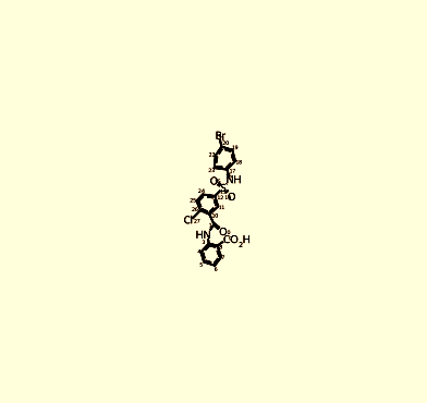 O=C(Nc1ccccc1C(=O)O)c1cc(S(=O)(=O)Nc2ccc(Br)cc2)ccc1Cl